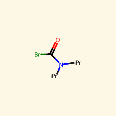 CC(C)N(C(=O)Br)C(C)C